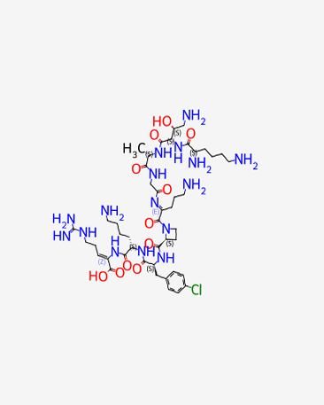 C[C@H](NC(=O)[C@@H](NC(=O)[C@@H](N)CCCCN)[C@@H](O)CN)C(=O)NCC(=O)/N=C(\CCCN)C(=O)N1CC[C@H]1C(=O)N[C@@H](Cc1ccc(Cl)cc1)C(=O)N[C@@H](CCCCN)C(=O)N/C(=C\CCNC(=N)N)C(=O)O